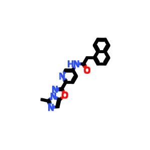 Cc1ncc2oc(-c3ccc(NC(=O)Cc4cccc5ccccc45)cn3)nn12